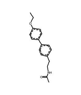 CCOc1[c]cc(-c2ccc(CCNC(C)=O)cc2)cc1